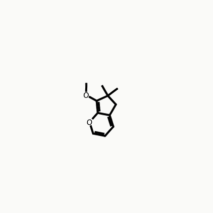 COC1=C2OC=CC=C2CC1(C)C